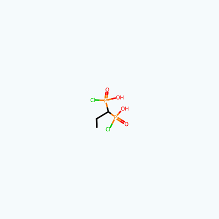 CCC(P(=O)(O)Cl)P(=O)(O)Cl